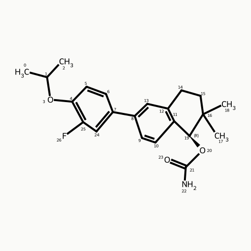 CC(C)Oc1ccc(-c2ccc3c(c2)CCC(C)(C)[C@H]3OC(N)=O)cc1F